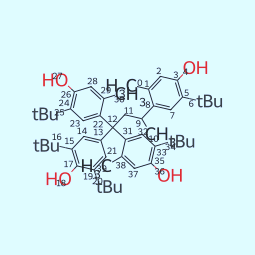 Cc1cc(O)c(C(C)(C)C)cc1C(C)CC(c1cc(C(C)(C)C)c(O)c(C(C)(C)C)c1)(c1cc(C(C)(C)C)c(O)cc1C)c1cc(C(C)(C)C)c(O)cc1C